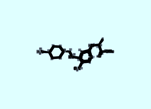 COC(=O)[C@H](C)Nc1ncc([N+](=O)[O-])c(NC[C@H]2CC[C@H](N)CC2)n1